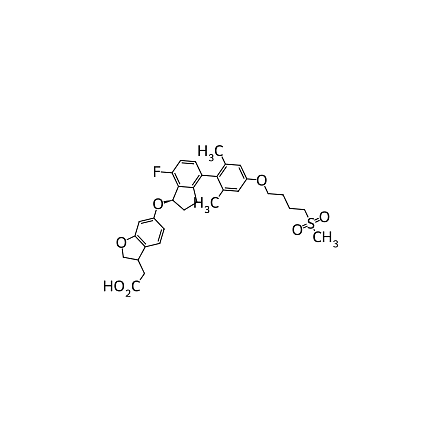 Cc1cc(OCCCCS(C)(=O)=O)cc(C)c1-c1ccc(F)c2c1CC[C@H]2Oc1ccc2c(c1)OCC2CC(=O)O